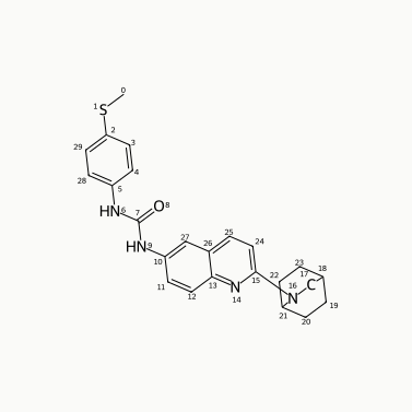 CSc1ccc(NC(=O)Nc2ccc3nc(N4CC5CCC4CC5)ccc3c2)cc1